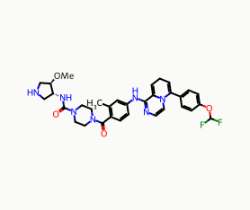 CO[C@@H]1CNC[C@H]1NC(=O)N1CCN(C(=O)c2ccc(NC3=NC=CN4C3=CCC=C4c3ccc(OC(F)F)cc3)cc2C)CC1